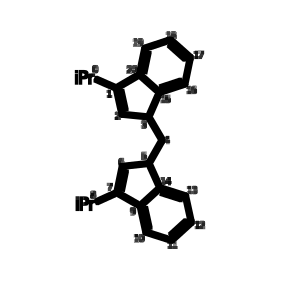 CC(C)C1=CC(CC2C=C(C(C)C)c3ccccc32)c2ccccc21